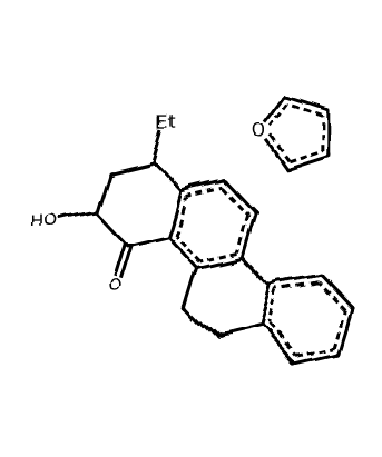 CCC1CC(O)C(=O)c2c1ccc1c2CCc2ccccc2-1.c1ccoc1